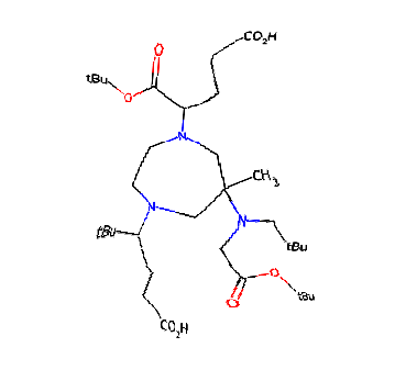 CC(C)(C)CN(CC(=O)OC(C)(C)C)C1(C)CN(C(CCC(=O)O)C(=O)OC(C)(C)C)CCN(C(CCC(=O)O)C(C)(C)C)C1